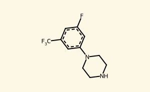 Fc1cc(N2CCNCC2)cc(C(F)(F)F)c1